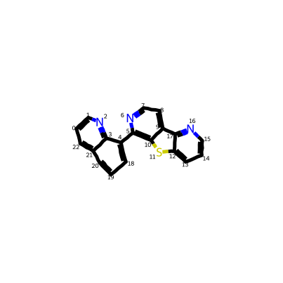 c1cnc2c(-c3nccc4c3sc3cccnc34)cccc2c1